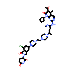 C=N/C(=C\C=C(/C)N1CCN(CCN2CCN(c3cc(Cl)c4c(c3)CN(C3CCC(=O)NC3=O)C4=O)CC2)CC1)Nc1ncc2c(C)c(C(C)=O)c(=O)n(C3CCCC3)c2n1